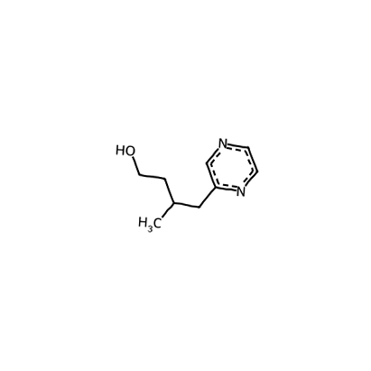 CC(CCO)Cc1cnccn1